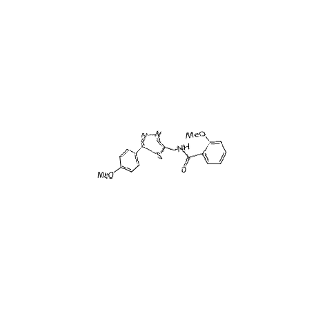 COc1ccc(-c2nnc(NC(=O)c3ccccc3OC)s2)cc1